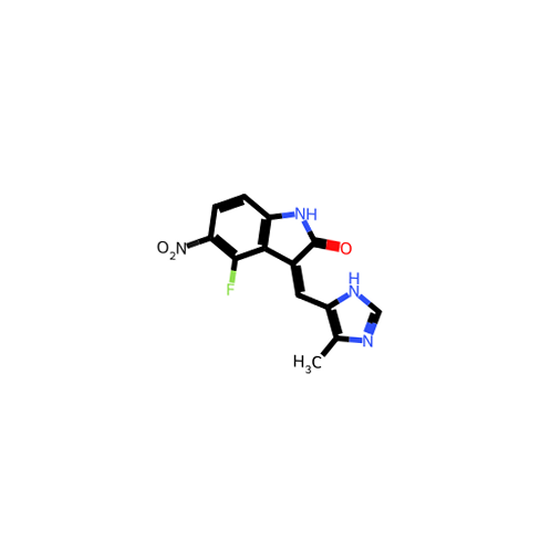 Cc1nc[nH]c1/C=C1\C(=O)Nc2ccc([N+](=O)[O-])c(F)c21